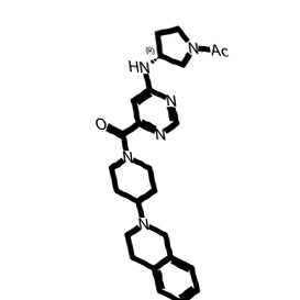 CC(=O)N1CC[C@@H](Nc2cc(C(=O)N3CCC(N4CCc5ccccc5C4)CC3)ncn2)C1